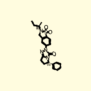 CC[C@@H](C)N1Cc2cc(-n3nc4n(c3=O)[C@H](c3ccccc3)CC4)ccc2S1(=O)=O